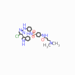 CN(C)CC=CC(=O)Nc1ccc(S(=O)(=O)Nc2cccc(Nc3ncc(Cl)c(-c4c[nH]c5ccccc45)n3)c2)cc1